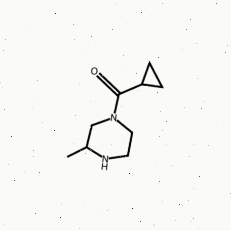 CC1CN(C(=O)C2CC2)CCN1